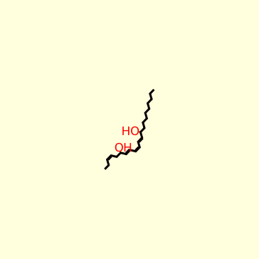 CC/C=C\C[C@H](O)/C=C/C=C\C=C\[C@@H](O)CCCCCCCCC